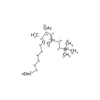 CCCCCCCCCCCCCCCCO[C@H](C)[C@@H](/C=[P+](\[O-])CC[N+](C)(C)C)OC(C)=O